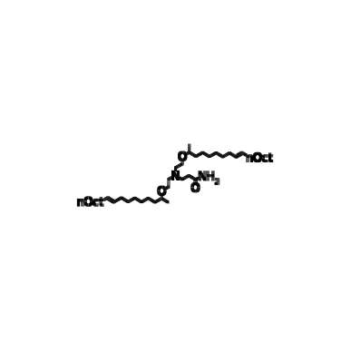 CCCCCCCCC=CCCCCCCC(C)OCCN(CCOC(C)CCCCCCC=CCCCCCCCC)CCC(N)=O